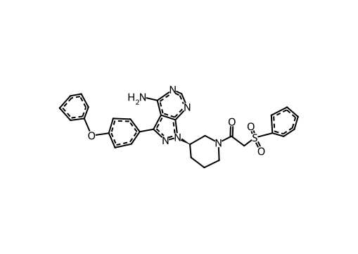 Nc1ncnc2c1c(-c1ccc(Oc3ccccc3)cc1)nn2[C@@H]1CCCN(C(=O)CS(=O)(=O)c2ccccc2)C1